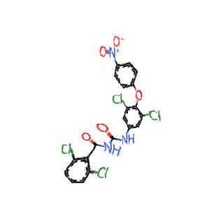 O=C(NC(=O)c1c(Cl)cccc1Cl)Nc1cc(Cl)c(Oc2ccc([N+](=O)[O-])cc2)c(Cl)c1